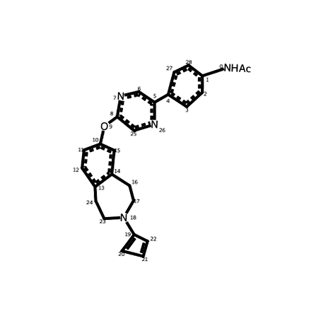 CC(=O)Nc1ccc(-c2cnc(Oc3ccc4c(c3)CCN(C3=CC=C3)CC4)cn2)cc1